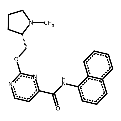 CN1CCC[C@H]1COc1nccc(C(=O)Nc2cccc3ccccc23)n1